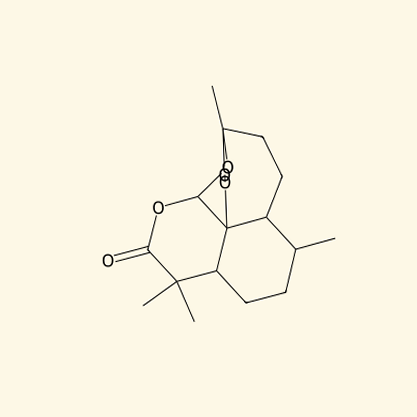 CC1CCC2C(C)(C)C(=O)OC3OC4(C)CCC1C32OO4